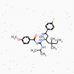 CCC(C)(C)CC(C/C(=N\C)c1ccc(F)cc1)N/C(=N\C(=O)c1ccc(OC)cc1)NC(C)C